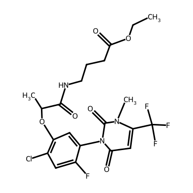 CCOC(=O)CCCNC(=O)C(C)Oc1cc(-n2c(=O)cc(C(F)(F)F)n(C)c2=O)c(F)cc1Cl